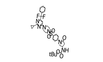 CC(C)(C)OC(=O)NC1CC(=O)N(c2ccc(S(=O)(=O)N3CCN(c4cc(C(F)(F)c5ccccc5)nc(C5CC5)n4)CC3)cc2)C1